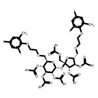 Cc1cc(I)cc(I)c1OCCOC[C@H]1O[C@@](COC(=O)C(C)C)(O[C@H]2O[C@H](COCCOc3c(C)cc(I)cc3I)[C@@H](OC(=O)C(C)C)[C@H](OC(=O)C(C)C)[C@H]2OC(=O)C(C)C)[C@@H](OC(=O)C(C)C)[C@@H]1OC(=O)C(C)C